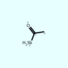 C[C](=O)[SbH2]